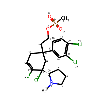 CC(=O)N1CCC[C@H]1C1(Cl)CC(CCOS(C)(=O)=O)(c2ccc(Cl)c(Cl)c2)CC=C1F